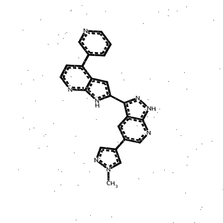 Cn1cc(-c2cnc3[nH]nc(-c4cc5c(-c6cccnc6)ccnc5[nH]4)c3c2)cn1